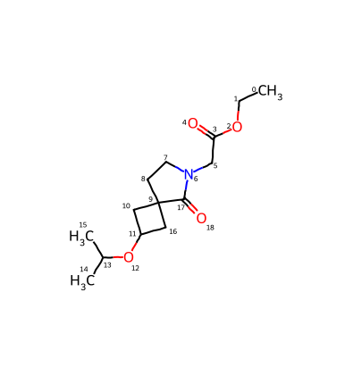 CCOC(=O)CN1CCC2(CC(OC(C)C)C2)C1=O